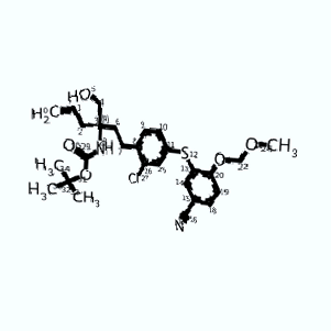 C=CC[C@@](CO)(CCc1ccc(Sc2cc(C#N)ccc2OCOC)cc1Cl)NC(=O)OC(C)(C)C